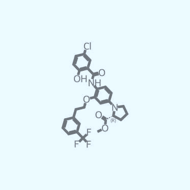 COC(=O)[C@H]1CCCN1c1ccc(NC(=O)c2cc(Cl)ccc2O)c(OCCc2cccc(C(F)(F)F)c2)c1